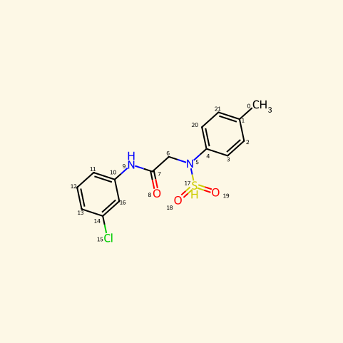 Cc1ccc(N(CC(=O)Nc2cccc(Cl)c2)[SH](=O)=O)cc1